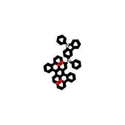 c1ccc(-c2ccccc2-c2c3ccccc3c(-c3ccccc3-c3ccccc3)c3cc(N(c4ccccc4)c4ccc5c(c4)c4ccccc4n5-c4ccccc4)ccc23)cc1